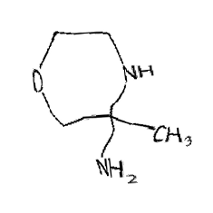 CC1(N)COCCN1